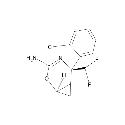 NC1=N[C@@](c2ccccc2Cl)(C(F)F)C2C[C@H]2O1